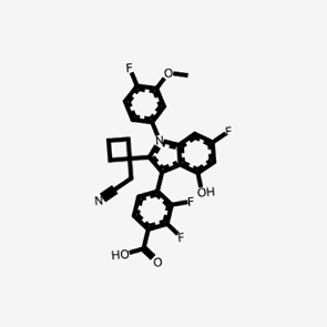 COc1cc(-n2c(C3(CC#N)CCC3)c(-c3ccc(C(=O)O)c(F)c3F)c3c(O)cc(F)cc32)ccc1F